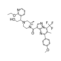 CCOc1ncccc1C(CO)N1CCN(C(=O)c2cnn3c(C(F)(F)F)c(C)c(-c4ccc(OC)cc4)nc23)[C@H](C)C1